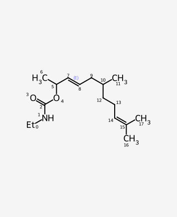 CCNC(=O)OC(C)/C=C/CC(C)CCC=C(C)C